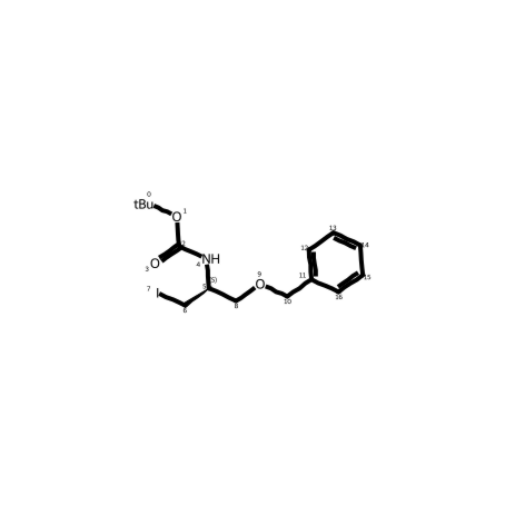 CC(C)(C)OC(=O)N[C@H](CI)COCc1ccccc1